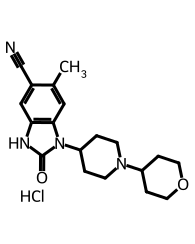 Cc1cc2c(cc1C#N)[nH]c(=O)n2C1CCN(C2CCOCC2)CC1.Cl